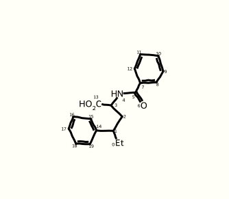 CCC(CC(NC(=O)c1ccccc1)C(=O)O)c1ccccc1